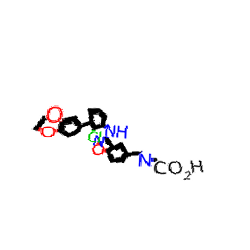 O=C(O)CN=Cc1ccc2onc(Nc3cccc(-c4ccc5c(c4)OCCO5)c3Cl)c2c1